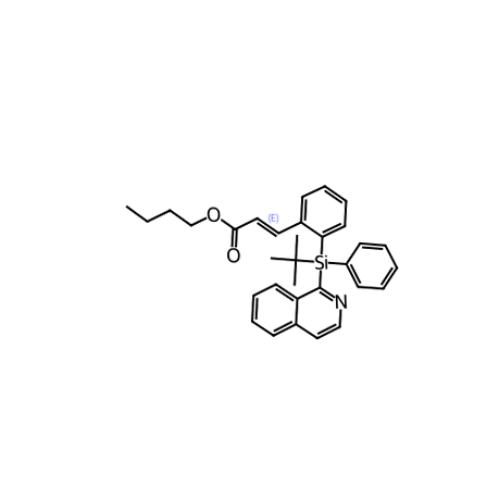 CCCCOC(=O)/C=C/c1ccccc1[Si](c1ccccc1)(c1nccc2ccccc12)C(C)(C)C